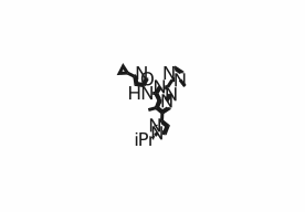 Cc1c(-c2ccn(C(C)C)n2)cn2nc(-c3nccn3C)nc(Nc3cc(C4CC4)no3)c12